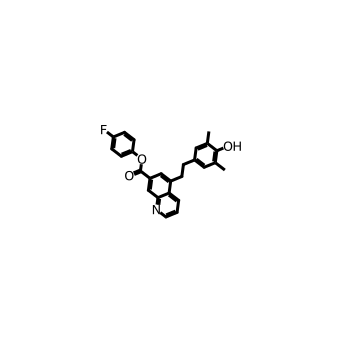 Cc1cc(CCc2cc(C(=O)Oc3ccc(F)cc3)cc3ncccc23)cc(C)c1O